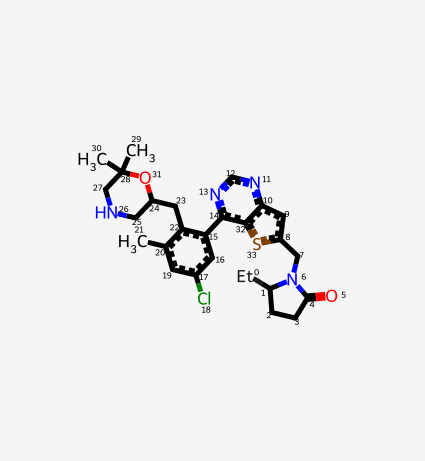 CCC1CCC(=O)N1Cc1cc2ncnc(-c3cc(Cl)cc(C)c3CC3CNCC(C)(C)O3)c2s1